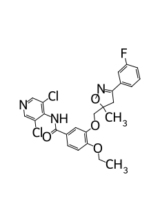 CCOc1ccc(C(=O)Nc2c(Cl)cncc2Cl)cc1OCC1(C)CC(c2cccc(F)c2)=NO1